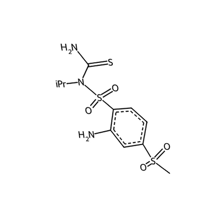 CC(C)N(C(N)=S)S(=O)(=O)c1ccc(S(C)(=O)=O)cc1N